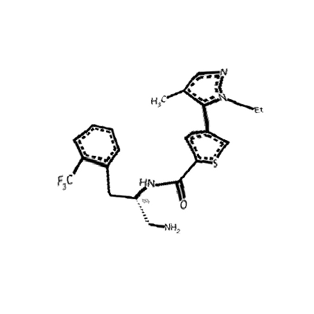 CCn1ncc(C)c1-c1csc(C(=O)N[C@H](CN)Cc2ccccc2C(F)(F)F)c1